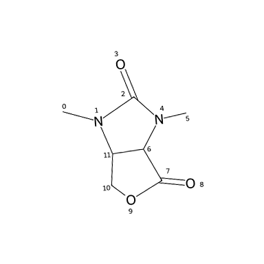 CN1C(=O)N(C)C2C(=O)OCC21